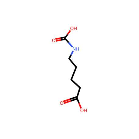 O=C(O)CCCCNC(=O)O